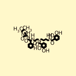 CC1(C)CN2C(=O)[C@@H](NC(=O)[C@H](NC(=O)CN(CCCCNC(=O)c3cccc(O)c3O)C(=O)c3cccc(O)c3O)c3ccccc3)C2S1